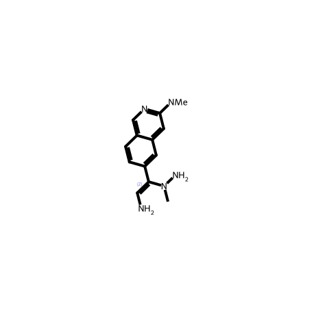 CNc1cc2cc(/C(=C/N)N(C)N)ccc2cn1